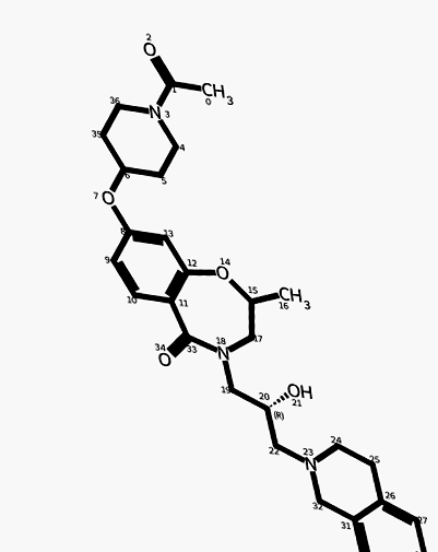 CC(=O)N1CCC(Oc2ccc3c(c2)OC(C)CN(C[C@H](O)CN2CCc4ccccc4C2)C3=O)CC1